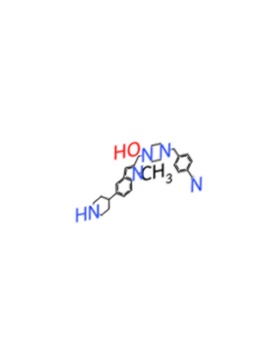 Cn1c(C(O)N2CCN(Cc3ccc(C#N)cc3)CC2)cc2cc(C3CCNCC3)ccc21